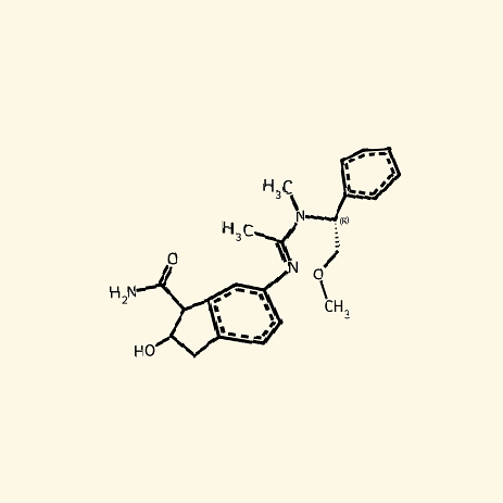 COC[C@@H](c1ccccc1)N(C)C(C)=Nc1ccc2c(c1)C(C(N)=O)C(O)C2